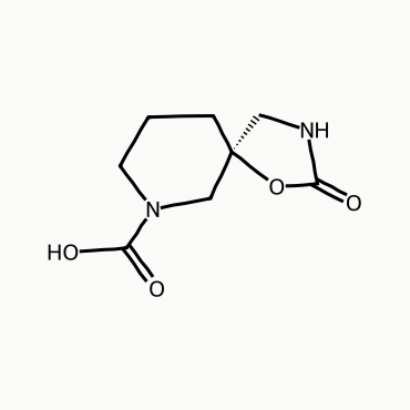 O=C1NC[C@]2(CCCN(C(=O)O)C2)O1